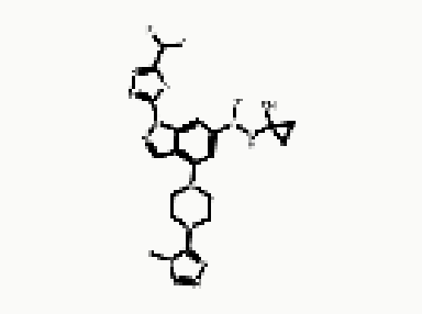 Cn1cnnc1N1CCN(c2cc([S+]([O-])NC3(C#N)CC3)cc3c2cnn3-c2nnc(C(F)F)s2)CC1